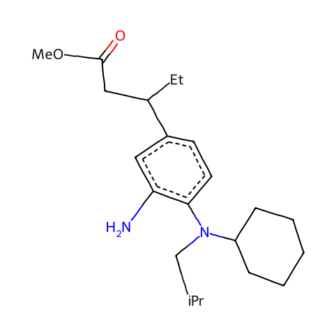 CCC(CC(=O)OC)c1ccc(N(CC(C)C)C2CCCCC2)c(N)c1